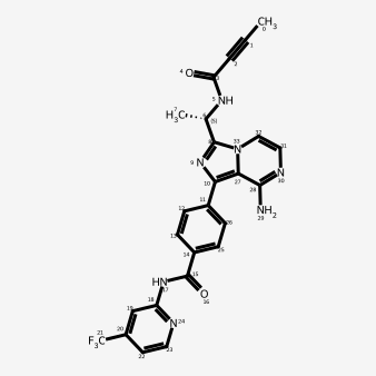 CC#CC(=O)N[C@@H](C)c1nc(-c2ccc(C(=O)Nc3cc(C(F)(F)F)ccn3)cc2)c2c(N)nccn12